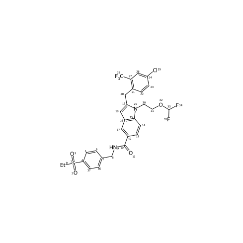 CCS(=O)(=O)c1ccc(CNC(=O)c2ccc3c(c2)cc(Cc2ccc(Cl)cc2C(F)(F)F)n3CCOC(F)F)cc1